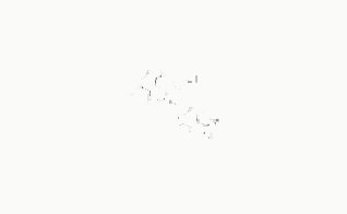 CCO[C@H](C(=O)NCc1ccc(C(=N)N)cc1)c1c(F)ccc(O)c1F.Cl